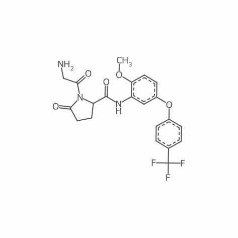 COc1ccc(Oc2ccc(C(F)(F)F)cc2)cc1NC(=O)C1CCC(=O)N1C(=O)CN